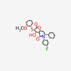 COc1ccccc1Sc1c(O)c2c(=O)n(-c3ccc(F)cc3)c(-c3ccccc3)cc2oc1=O